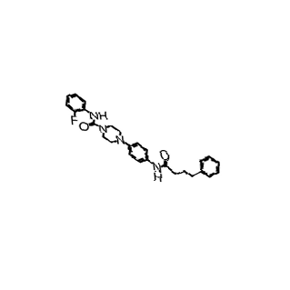 O=C(CCCc1ccccc1)Nc1ccc(N2CCN(C(=O)Nc3ccccc3F)CC2)cc1